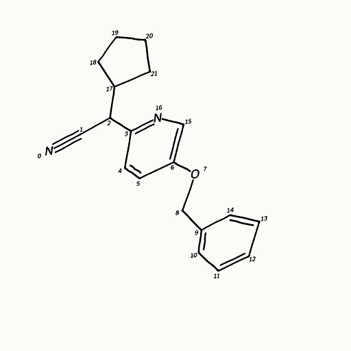 N#CC(c1ccc(OCc2ccccc2)cn1)C1CCCC1